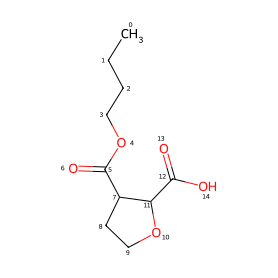 CCCCOC(=O)C1CCOC1C(=O)O